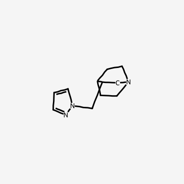 c1cnn(CC2CN3CCC2CC3)c1